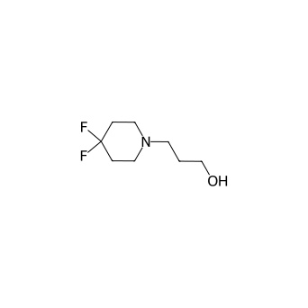 OCCCN1CCC(F)(F)CC1